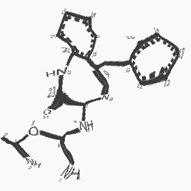 CC(=N)OC(=N)NC1N=C(c2ccccc2)c2ccccc2NC1=O